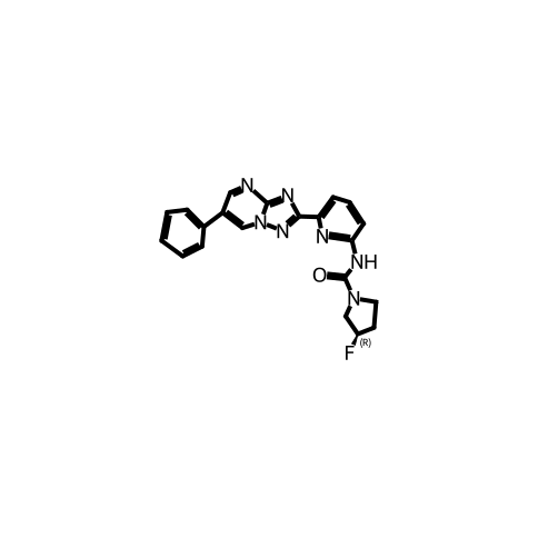 O=C(Nc1cccc(-c2nc3ncc(-c4ccccc4)cn3n2)n1)N1CC[C@@H](F)C1